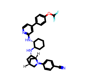 N#Cc1ccc(N2C[C@@H]3C[C@H](N[C@@H]4CCCC[C@H]4Nc4cc(-c5ccc(OC(F)F)cc5)ccn4)[C@H]2C3)cc1